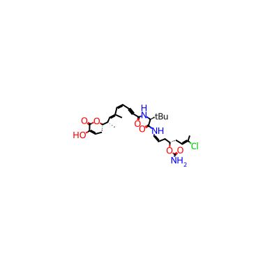 C/C(Cl)=C\C[C@@H](C/C=C\NC(=O)[C@@H](NC(=O)C#C/C=C\C(C)=C\[C@H](C)[C@@H]1CC=C(O)C(=O)O1)C(C)(C)C)OC(N)=O